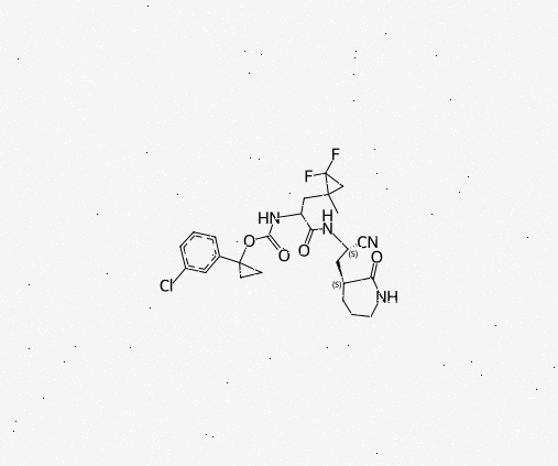 CC1(CC(NC(=O)OC2(c3cccc(Cl)c3)CC2)C(=O)N[C@H](C#N)C[C@@H]2CCCNC2=O)CC1(F)F